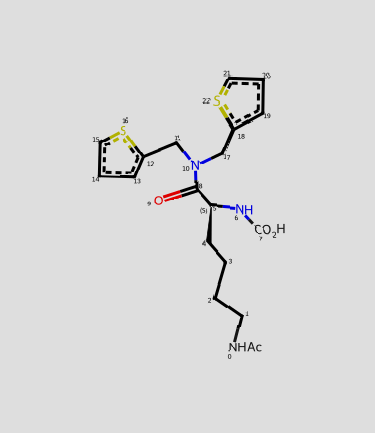 CC(=O)NCCCC[C@H](NC(=O)O)C(=O)N(Cc1cccs1)Cc1cccs1